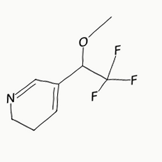 COC(C1=CCCN=C1)C(F)(F)F